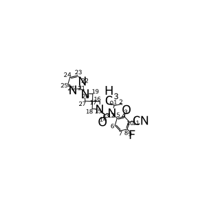 CC1COc2c(ccc(F)c2C#N)N1C(=O)N1CC2(C1)CN(c1ncccn1)C2